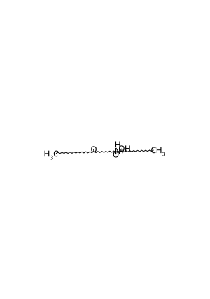 CCCCCCCCCCCCCCCCCCCC(=O)CCCCCCCCCCC(=O)NC[C@H](O)CCCCCCCCCCCCCCCC